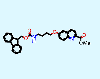 COC(=O)c1ccc2cc(OCCCCNC(=O)OCC3c4ccccc4-c4ccccc43)ccc2n1